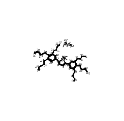 CCCCc1cc(C2=CC=C(c3cc(CCCC)c(CCCC)c(CCCC)c3)[N+]2=[N-])cc(CCCC)c1CCCC.[CH3][Pd][CH3]